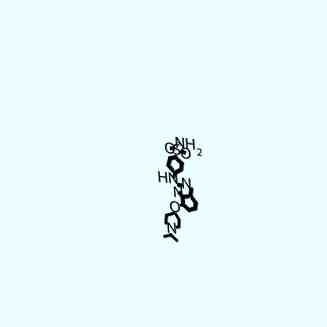 CC(C)N1CCC(Oc2cccc3cnc(Nc4ccc(S(N)(=O)=O)cc4)nc23)CC1